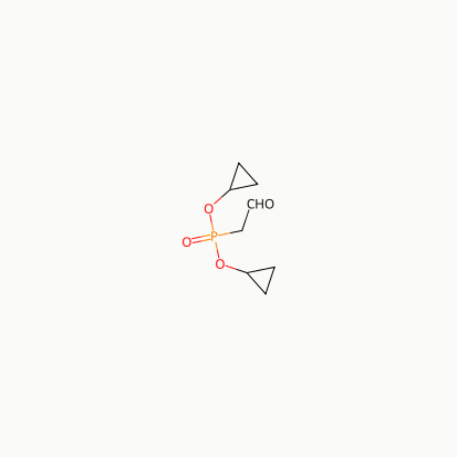 O=CCP(=O)(OC1CC1)OC1CC1